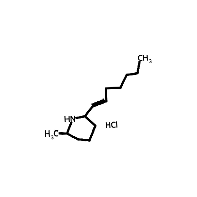 CCCCCC=CC1CCCC(C)N1.Cl